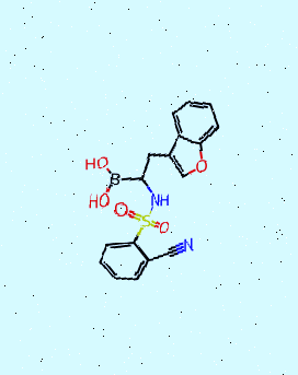 N#Cc1ccccc1S(=O)(=O)NC(Cc1coc2ccccc12)B(O)O